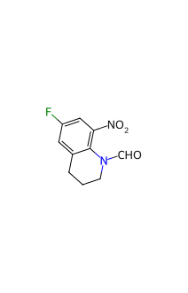 O=CN1CCCc2cc(F)cc([N+](=O)[O-])c21